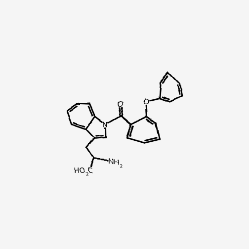 NC(Cc1cn(C(=O)c2ccccc2Oc2ccccc2)c2ccccc12)C(=O)O